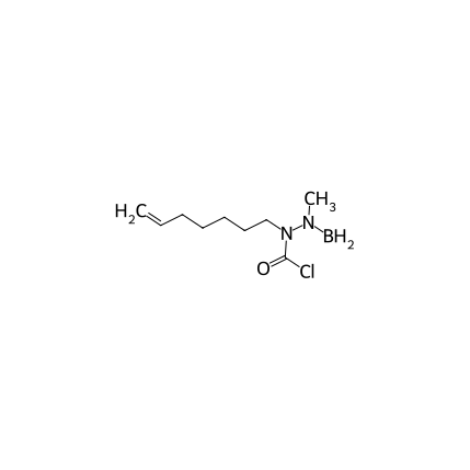 BN(C)N(CCCCCC=C)C(=O)Cl